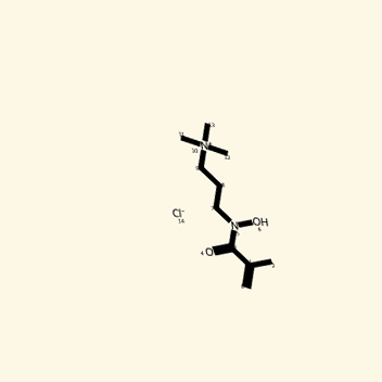 C=C(C)C(=O)N(O)CCC[N+](C)(C)C.[Cl-]